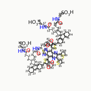 O=C(CCCCCC1(CCCCCC(=O)NCCS(=O)(=O)O)c2ccccc2-c2ccc(-c3sc(-c4c5nsnc5c(-c5sc(-c6ccc7c(c6)C(CCCCCC(=O)NCCS(=O)(=O)O)(CCCCCC(=O)NCCS(=O)(=O)O)c6ccccc6-7)c6c5OCCO6)c5nc(-c6cccs6)c(-c6cccs6)nc45)c4c3OCCO4)cc21)NCCS(=O)(=O)O